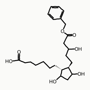 O=C(O)CCCCCC[C@H]1C(O)CC(O)[C@@H]1CCC(O)CC(=O)OCc1ccccc1